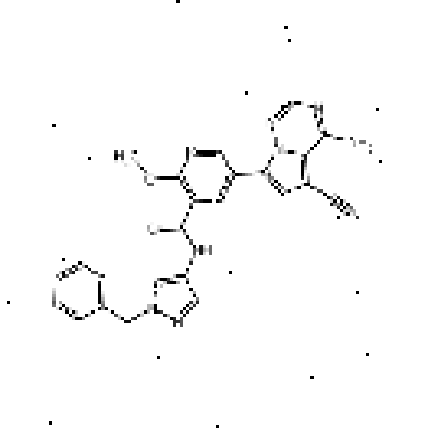 COc1ncc(-c2cc(C#N)c3c(N)ncnn23)cc1C(=O)Nc1cnn(Cc2ccccc2)c1